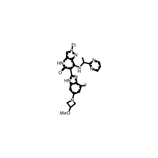 CCn1cc2[nH]c(=O)c(-c3nc4c(F)cc(N5CC(OC)C5)cc4[nH]3)c(NC(C)c3ncccn3)c2n1